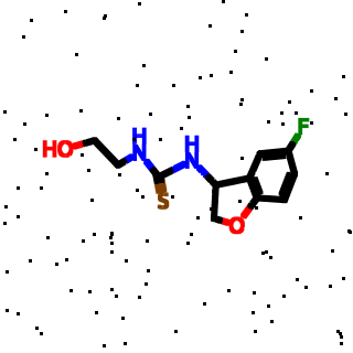 OCCNC(=S)NC1COc2ccc(F)cc21